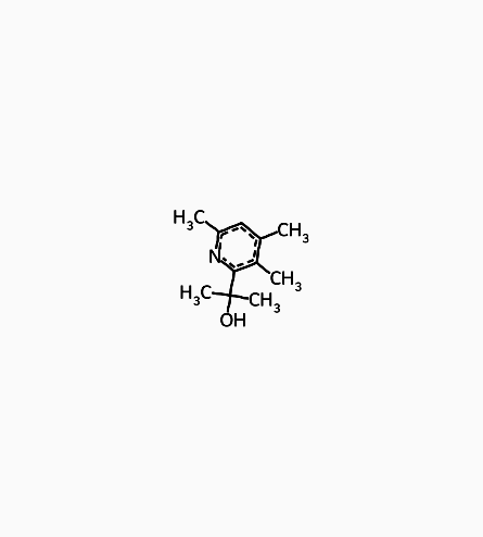 Cc1cc(C)c(C)c(C(C)(C)O)n1